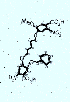 COc1cc(C(=O)O)c([N+](=O)[O-])cc1OCCCCCOc1cc([N+](=O)[O-])c(C(=O)O)cc1OCc1ccccc1